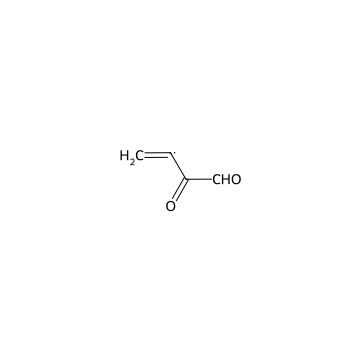 C=[C]C(=O)C=O